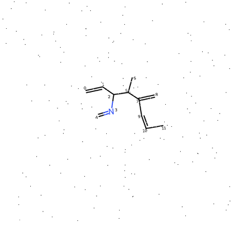 C=CC(N=C)C(C)C(=C)/C=C\C